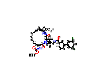 CC(C)(C)OC(=O)N[C@@H]1CCCCC/C=C\[C@H]2C[C@@]2(C(=O)O)NC(=O)[C@@H]2[C@H]3CN(C(=O)c4cccc(-c5cc(F)cc(F)c5)c4)C[C@H]3CN2C1=O